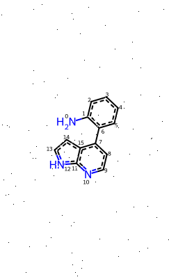 Nc1ccccc1-c1ccnc2[nH]ccc12